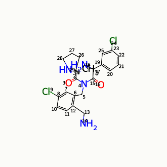 C[C@@]1(C(=O)N(Cc2cc(Cl)ccc2CN)C(=O)C(N)c2cccc(Cl)c2)CCCN1